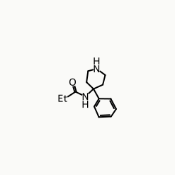 CCC(=O)NC1(c2ccccc2)CCNCC1